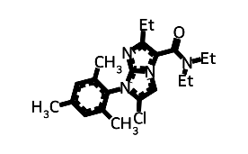 CCc1nc2n(-c3c(C)cc(C)cc3C)c(Cl)cn2c1C(=O)N(CC)CC